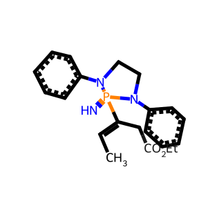 C/C=C(\CC(=O)OCC)P1(=N)N(c2ccccc2)CCN1c1ccccc1